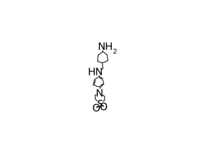 NC1CCC(CNc2ccc(N3CCS(=O)(=O)CC3)cc2)CC1